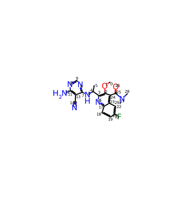 COc1c(C(C)Nc2ncnc(N)c2C#N)nc2ccc(F)cc2c1C(=O)N(C)C